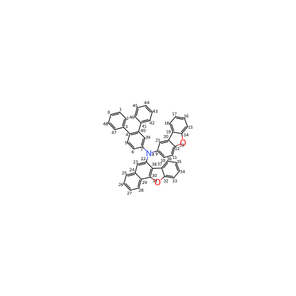 c1ccc(-c2ccc(N(c3ccc4oc5ccccc5c4c3)c3cc4ccccc4c4oc5ccccc5c34)cc2-c2ccccc2)cc1